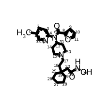 Cc1ccc(N(C(=O)c2ccco2)C2CCN(CCC3(CC(=O)NO)CCCCC3)CC2)nc1